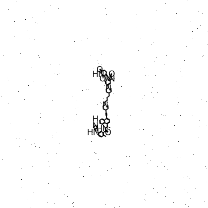 Cc1ccc(NC2CNC2)cc1C(=O)N[C@H](C)c1ccc(C#CC2CCN(CCCCC3CCN(c4ccc5c(c4)n(C)c(=O)n5C4CCC(=O)NC4=O)CC3)CC2)c2ccccc12